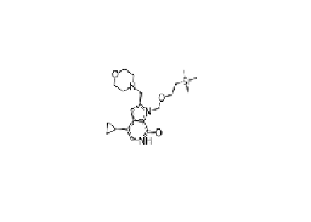 C[Si](C)(C)CCOCn1c(CN2CCOCC2)cc2c(C3CC3)c[nH]c(=O)c21